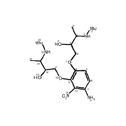 CC(NC(C)(C)C)C(O)COc1ccc(N)c([N+](=O)[O-])c1OCC(O)C(C)NC(C)(C)C